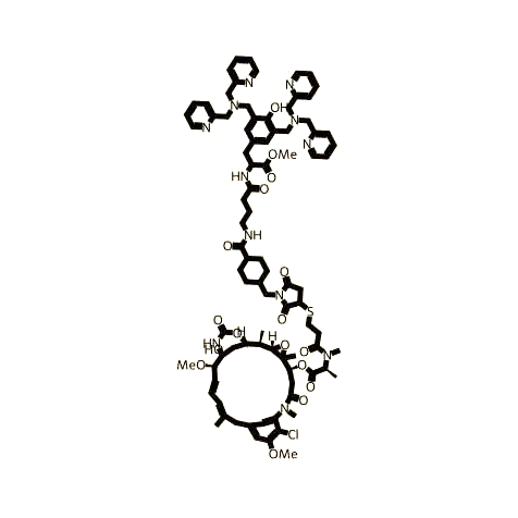 COC(=O)C(Cc1cc(CN(Cc2ccccn2)Cc2ccccn2)c(O)c(CN(Cc2ccccn2)Cc2ccccn2)c1)NC(=O)CCCNC(=O)C1CCC(CN2C(=O)CC(SCCC(=O)N(C)[C@@H](C)C(=O)O[C@H]3CC(=O)N(C)c4cc(cc(OC)c4Cl)C/C(C)=C/C=C/[C@@H](OC)[C@@]4(O)C[C@H](OC(=O)N4)[C@@H](C)[C@@H]4OC34C)C2=O)CC1